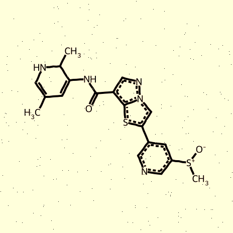 CC1=CNC(C)C(NC(=O)c2cnn3cc(-c4cncc([S+](C)[O-])c4)sc23)=C1